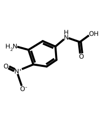 Nc1cc(NC(=O)O)ccc1[N+](=O)[O-]